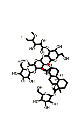 C=C1C[C@@]23CC[C@@H]4C(C)(C(=O)OC5OC(CO)C(O)C(O)C5O)CCC[C@@]4(C)[C@@H]2CC[C@]1(OC1OC(CO)C(O)C(OC(O)C(O)C(O)C(CO)OC)C1OC1OC([C@@H](C)OC)C(OC2OC(CO)C(O)C(O)C2O)C(O)C1O)C3